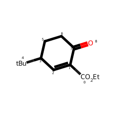 CCOC(=O)C1=CC(C(C)(C)C)CCC1=O